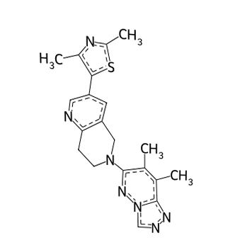 Cc1nc(C)c(-c2cnc3c(c2)CN(c2nn4cnnc4c(C)c2C)CC3)s1